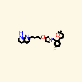 CC1(C)CCC(c2ccc(F)cc2CN2CCC(OCCCCc3ccc4c(n3)NCCC4)C2)O1